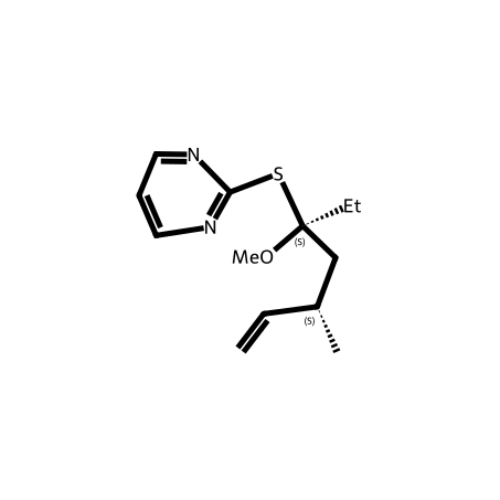 C=C[C@@H](C)C[C@@](CC)(OC)Sc1ncccn1